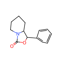 O=C1OC(c2ccccc2)C2CCCCN12